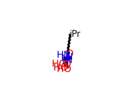 CC(C)CCCCCCCCCCCC(=O)Nc1ncnc2c1ncn2[C@@H]1O[C@H](CO)[C@@H](O)[C@H]1O